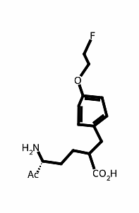 CC(=O)[C@H](N)CCC(Cc1ccc(OCCF)cc1)C(=O)O